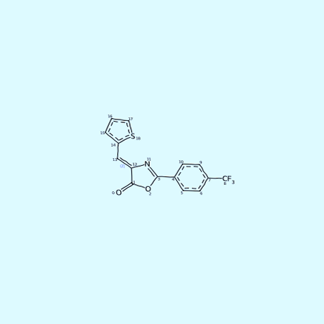 O=C1OC(c2ccc(C(F)(F)F)cc2)=N/C1=C\c1cccs1